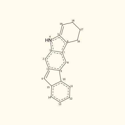 C1=c2cc3[nH]c4c(c3cc2-c2ccccc21)CCCC=4